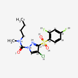 CCCCN(C)C(=O)n1cc(Cl)c(S(=O)(=O)c2ccc(F)cc2F)n1